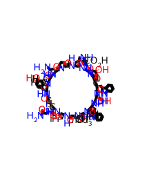 CCCC[C@H]1C(=O)N(C)[C@@H](CCCC)C(=O)N[C@@H](CC(C)C)C(=O)N[C@H](C(=O)NCC(N)=O)CSCC(=O)N[C@@H](Cc2ccc(O)cc2)C(=O)N(C)[C@@H](C)C(=O)N[C@@H](CCN)C(=O)N2CCC[C@H]2C(=O)N[C@@H](Cc2c[nH]cn2)C(=O)N[C@@H](CCC(=O)O)C(=O)N2C[C@H](O)C[C@H]2C(=O)C[C@@H](Cc2c[nH]c3ccccc23)C(=O)N[C@@H](CO)C(=O)N[C@@H](Cc2c[nH]c3ccccc23)C(=O)N1C